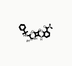 CC(C)[C@@H](Nc1c(Nc2cccc(C(=O)N(C)C)c2O)c(=O)c1=O)C(=O)NC(C)(C)c1ccccc1